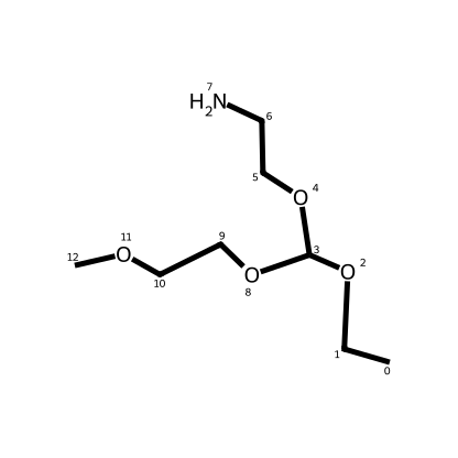 CCOC(OCCN)OCCOC